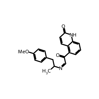 COc1ccc(CC(C)/N=C\C(=O)c2cccc3[nH]c(=O)ccc23)cc1